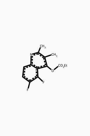 CCOC(=O)Oc1c(C)c(C)nc2ccc(F)c(F)c12